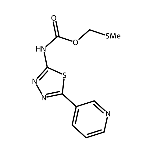 CSCOC(=O)Nc1nnc(-c2cccnc2)s1